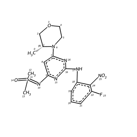 C[C@@H]1COCCN1c1cc(N=S(C)(C)=O)nc(Nc2cccc(F)c2[N+](=O)[O-])n1